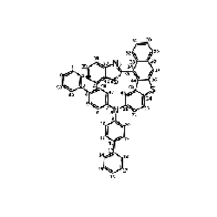 c1ccc(-c2ccc(N(c3ccc(-c4ccccc4)cc3)c3ccc4sc5cc6ccccc6c(-c6nc7ccccc7s6)c5c4c3)cc2)cc1